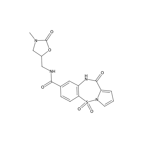 CN1CC(CNC(=O)c2ccc3c(c2)NC(=O)c2cccn2S3(=O)=O)OC1=O